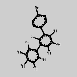 [2H]c1c([2H])c([2H])c(-c2c([2H])c([2H])c([2H])c(-c3ccc(Br)cc3)c2[2H])c([2H])c1[2H]